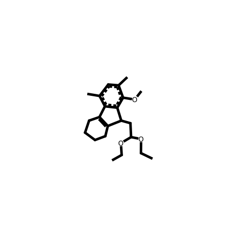 CCOC(CC1C2=C(CCCC2)c2c(C)cc(C)c(OC)c21)OCC